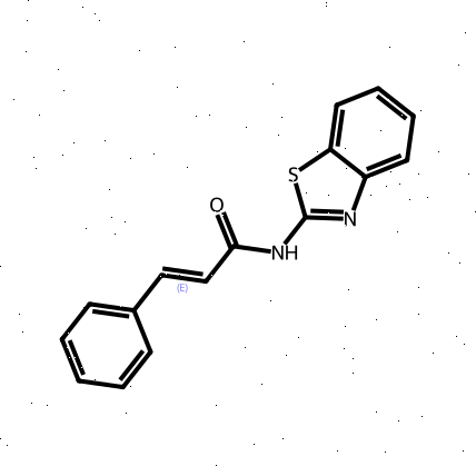 O=C(/C=C/c1ccccc1)Nc1nc2ccccc2s1